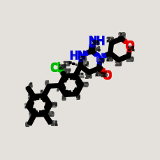 Cc1cc(C)c(Cc2cccc([C@]3(C)CC(=O)N(C4CCOCC4)C(=N)N3)c2Cl)cc1C